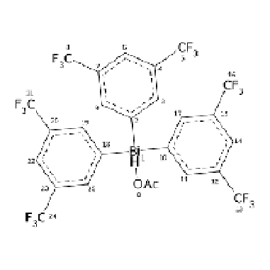 CC(=O)[O][BiH]([c]1cc(C(F)(F)F)cc(C(F)(F)F)c1)([c]1cc(C(F)(F)F)cc(C(F)(F)F)c1)[c]1cc(C(F)(F)F)cc(C(F)(F)F)c1